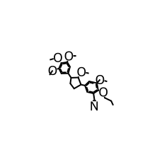 CCCOc1c(C#N)cc(C2CCC(c3cc(OC)c(OC)c(OC)c3)C2OC)cc1OC